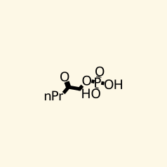 CCCC(=O)COP(=O)(O)O